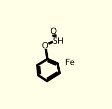 O=[SH]Oc1ccccc1.[Fe]